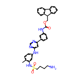 Cc1ccc(Nc2cc(-c3cccc(NC(=O)OCC4c5ccccc5-c5ccccc54)c3)ncn2)cc1NS(=O)(=O)CCCCN